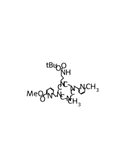 COC(=O)c1cccc(CN2CCN(C)CCN(Cc3cccc(C)n3)CCN(CCCNC(=O)OC(C)(C)C)CC2)n1